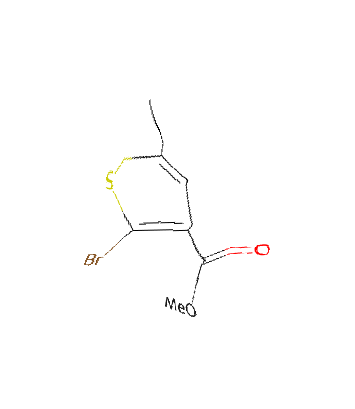 COC(=O)c1cc(C)sc1Br